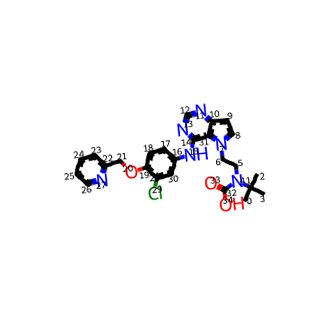 CC(C)(C)N(CCn1ccc2ncnc(Nc3ccc(OCc4ccccn4)c(Cl)c3)c21)C(=O)O